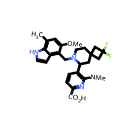 CNc1nc(C(=O)O)ccc1C1CC2(CCN1Cc1c(OC)cc(C)c3[nH]ccc13)CC(F)(F)C2